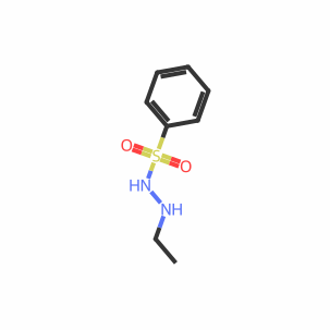 CCNNS(=O)(=O)c1ccccc1